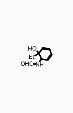 CCC1(O)C=CC=CC1NC=O